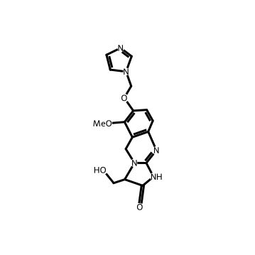 COc1c(OCn2ccnc2)ccc2c1CN1C(=N2)NC(=O)C1CO